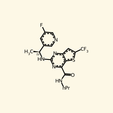 CCCNC(=O)c1nc(N[C@@H](C)c2cncc(F)c2)nc2cc(C(F)(F)F)sc12